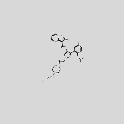 CCNC1CCN(C(=O)Cn2cc(NC(=O)c3c(N)nn4cccnc34)c(-c3cc(Cl)ccc3OC(F)F)n2)CC1